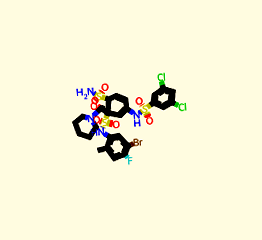 Cc1cc(F)c(Br)cc1NS(=O)(=O)C1(C(=O)N2CCCCC2)C=C(NS(=O)(=O)c2cc(Cl)cc(Cl)c2)C=CC1S(N)(=O)=O